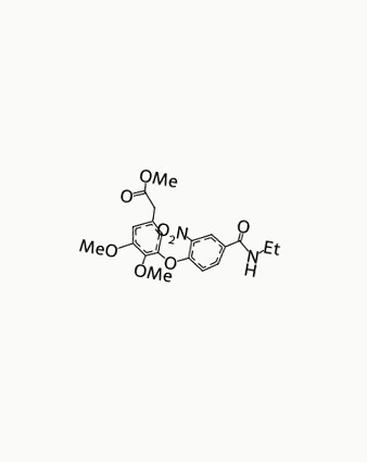 CCNC(=O)c1ccc(Oc2cc(CC(=O)OC)cc(OC)c2OC)c([N+](=O)[O-])c1